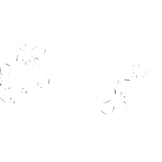 Cc1nc(Nc2ncc(C(=O)Nc3c(C)cccc3Cl)s2)cc(N2CCN(C(=O)CCCCCCCCc3cccc4c3C(=O)N(C3CCC(=O)NC3=O)C4=O)CC2)n1